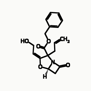 C=CCC1(C(=O)OCc2ccccc2)/C(=C\CO)O[C@@H]2CC(=O)N21